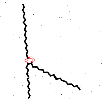 CCCCCCCCC=CCCCCCCCC(=O)OC(CCCCCCCCCCC)C(=O)CCCCCCCC=CCCCCCCCC